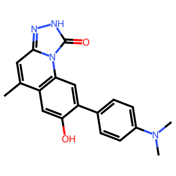 Cc1cc2n[nH]c(=O)n2c2cc(-c3ccc(N(C)C)cc3)c(O)cc12